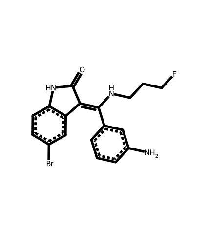 Nc1cccc(/C(NCCCF)=C2/C(=O)Nc3ccc(Br)cc32)c1